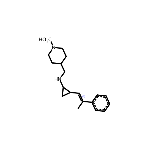 C/C(=C\C1CC1NCC1CCN(C(=O)O)CC1)c1ccccc1